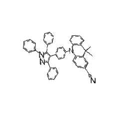 CC1(C)c2ccccc2N(c2ccc(-c3c(-c4ccccc4)nn(-c4ccccc4)c3-c3ccccc3)cc2)c2ccc(C#N)cc21